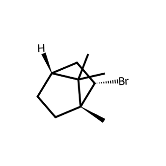 CC1(C)[C@@H]2CC[C@@]1(C)[C@@H](Br)C2